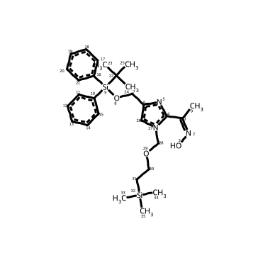 C/C(=N/O)c1nc(CO[Si](c2ccccc2)(c2ccccc2)C(C)(C)C)cn1COCC[Si](C)(C)C